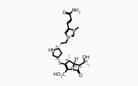 C[C@@H](O)[C@H]1C(=O)N2C(C(=O)O)=C(S[C@@H]3CN[C@H](CC[n+]4cc(C=CC(N)=O)n(C)c4)C3)[C@H](C)[C@H]12